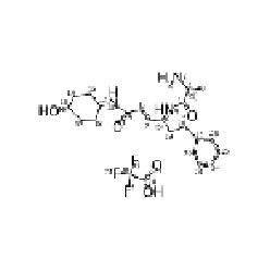 C[C@H](N)C(=O)N[C@H](C=CC(=O)NC1CCC(O)CC1)CCc1ccccc1.O=C(O)C(F)(F)F